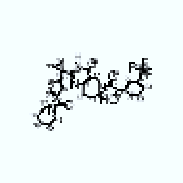 O=C(c1csc(C2(c3nc4c(c(=O)[nH]3)CN(C(=O)C(O)c3cccc(C(F)(F)F)c3)CCC4)CC2)c1)N1CCCCC1